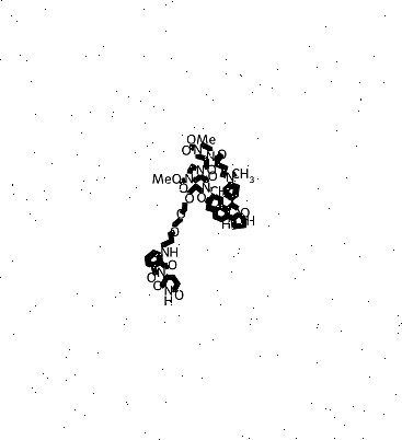 COC(=O)N1CCN(C(=O)CCCN(C)c2ccc([C@H]3C[C@]45O[C@H]4CCC5[C@@H]4CCC5=CC(=O)CCC5=C43)cc2)C(C(=O)N2CCN(C(=O)OC)CC2C(=O)N(C)CCCOCCOCCOCCCNc2cccc3c2C(=O)N(C2CCC(=O)NC2=O)C3=O)C1